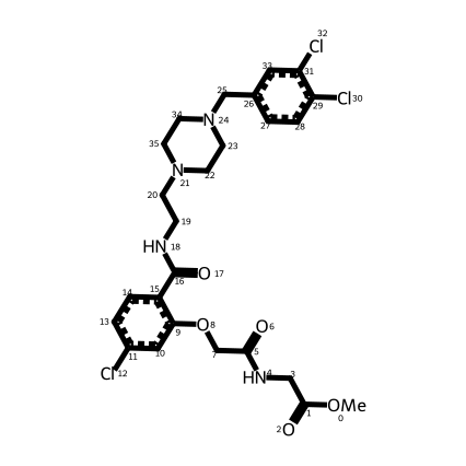 COC(=O)CNC(=O)COc1cc(Cl)ccc1C(=O)NCCN1CCN(Cc2ccc(Cl)c(Cl)c2)CC1